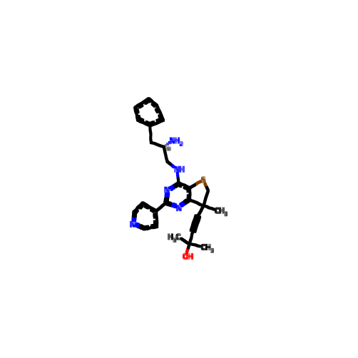 CC(C)(O)C#CC1(C)CSc2c(NC[C@@H](N)Cc3ccccc3)nc(-c3ccncc3)nc21